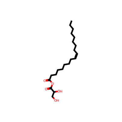 CCCCCCCC/C=C\CCCCCCCC(=O)OC(=O)C(O)CO